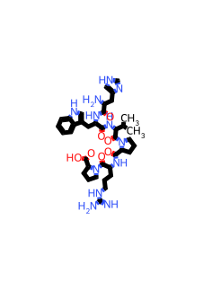 CC(C)C(NC(=O)C(Cc1c[nH]c2ccccc12)NC(=O)C(N)Cc1c[nH]cn1)C(=O)N1CCCC1C(=O)NC(CCCNC(=N)N)C(=O)N1CCCC1C(=O)O